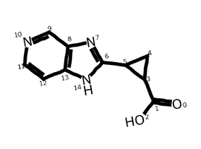 O=C(O)C1CC1c1nc2cnccc2[nH]1